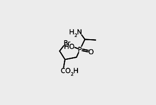 CC(N)P(=O)(O)CC(CBr)C(=O)O